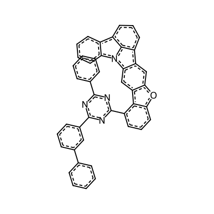 c1ccc(-c2cccc(-c3nc(-c4ccccc4)nc(-c4cccc5oc6cc7c8cccc9c%10ccccc%10n(c7cc6c45)c98)n3)c2)cc1